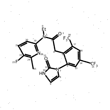 CCN(C(=O)Cc1c(-n2cc[nH]c2=O)cc(C(F)(F)F)cc1C(F)(F)F)c1ccc(F)c(C)n1